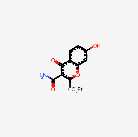 CCOC(=O)c1oc2cc(O)ccc2c(=O)c1C(N)=O